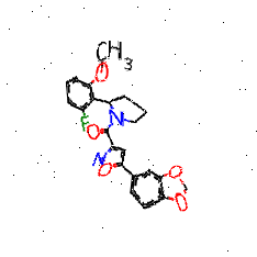 COc1cccc(F)c1C1CCCN1C(=O)c1cc(-c2ccc3c(c2)OCO3)on1